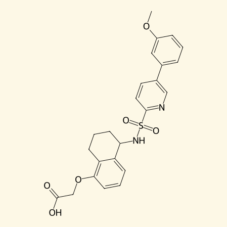 COc1cccc(-c2ccc(S(=O)(=O)NC3CCCc4c(OCC(=O)O)cccc43)nc2)c1